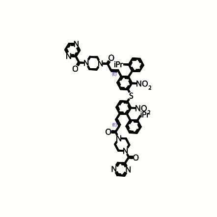 CC(C)c1ccccc1-c1c(/C=C/C(=O)N2CCN(C(=O)c3cnccn3)CC2)ccc(Sc2ccc(/C=C/C(=O)N3CCN(C(=O)c4cnccn4)CC3)c(-c3ccccc3C(C)C)c2[N+](=O)[O-])c1[N+](=O)[O-]